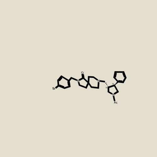 CC(=O)N1C[C@H](CN2CCC3(CC2)CCN(Cc2ccc(Br)cc2)C3=O)[C@@H](c2ccccc2)C1